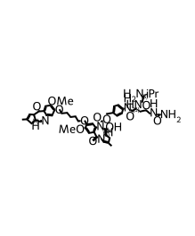 COc1cc2c(cc1OCCCCCOc1cc3c(cc1OC)C(=O)N1C=C(C)C[C@H]1[C@H](O)N3C(=O)OCc1ccc(NC(=O)[C@H](CCCNC(N)=O)NC(=O)[C@@H](N)C(C)C)cc1)N=C[C@@H]1CC(C)=CC1C2=O